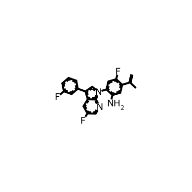 C=C(C)c1cc(N)c(-n2cc(-c3cccc(F)c3)c3cc(F)cnc32)cc1F